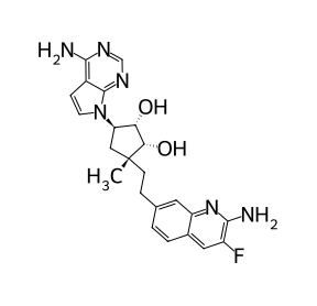 C[C@@]1(CCc2ccc3cc(F)c(N)nc3c2)C[C@@H](n2ccc3c(N)ncnc32)[C@H](O)[C@@H]1O